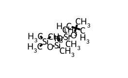 C[SiH](O[Si](C)(C)C)O[Si](C)(C)OC(C)(C)C